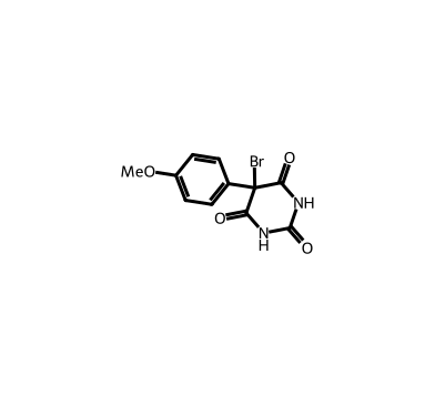 COc1ccc(C2(Br)C(=O)NC(=O)NC2=O)cc1